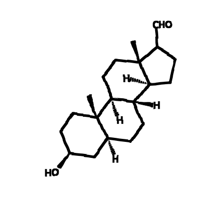 C[C@]12CC[C@H](O)C[C@@H]1CC[C@@H]1[C@@H]2CC[C@]2(C)C(C=O)CC[C@@H]12